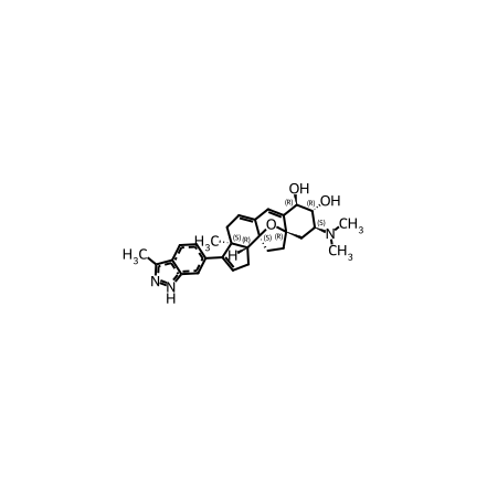 Cc1n[nH]c2cc(C3=CC[C@@H]4[C@]3(C)CC=C3C=C5[C@@H](O)[C@H](O)[C@@H](N(C)C)C[C@]56CC[C@@]34O6)ccc12